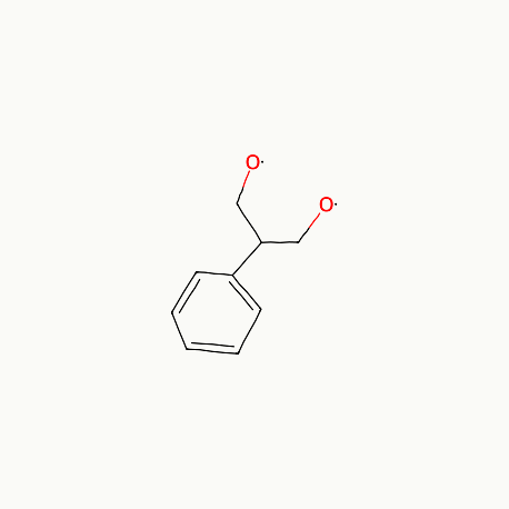 [O]CC(C[O])c1ccccc1